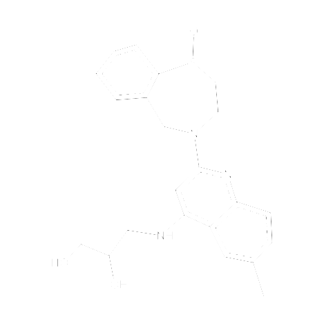 Cc1ccc2nc(N3CC[S+]([O-])c4ccccc4C3)cc(NCC(O)CO)c2c1